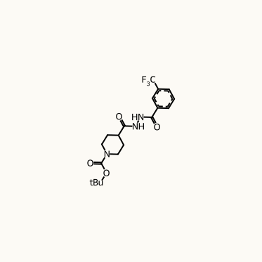 CC(C)(C)OC(=O)N1CCC(C(=O)NNC(=O)c2cccc(C(F)(F)F)c2)CC1